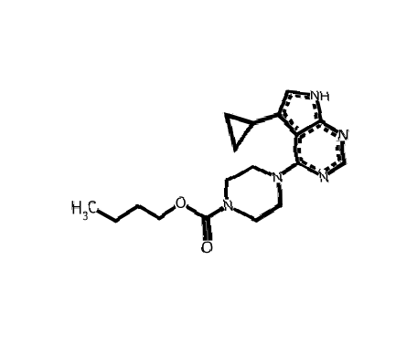 CCCCOC(=O)N1CCN(c2ncnc3[nH]cc(C4CC4)c23)CC1